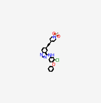 CS(=O)(=O)N1CC=C(C#Cc2ccc3ncnc(Nc4ccc(Oc5ccccc5)c(Cl)c4)c3c2)CC1